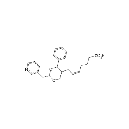 O=C(O)CCC/C=C\CC1COC(Cc2cccnc2)OC1c1ccccc1